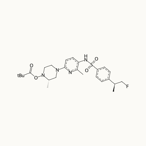 Cc1nc(N2CCN(OC(=O)C(C)(C)C)[C@@H](C)C2)ccc1NS(=O)(=O)c1ccc([C@H](C)CF)cc1